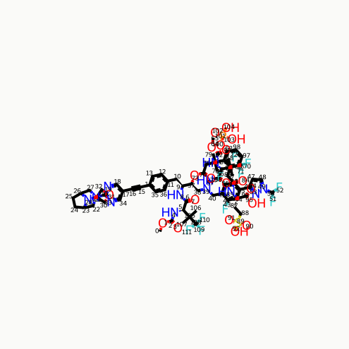 COC(=O)N[C@H](C(=O)N[C@@H](Cc1ccc(C#Cc2cnc(N3CC4CCC(C3)N4C3COC3)nc2)cc1)[C@H](CN(Cc1c(F)cc(-c2ccn(C(F)F)n2)cc1F)NC(=O)[C@@H](NC(=O)OC)C(C)(C)C(F)(F)F)OC(=O)CC(C)(C)c1c(CC(=O)N[C@@H](CCS(=O)(=O)O)C(=O)O)cccc1OP(=O)(O)O)C(C)(C)C(F)(F)F